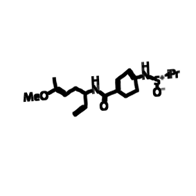 C=CC(C/C=C(\C)OC)NC(=O)C1=CC=C(N[S@@+]([O-])C(C)C)CC1